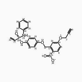 C#CCOc1ccc([N+](=O)[O-])c(COc2ccc(OP(=O)(C=C)Nc3ccccc3)cc2)c1